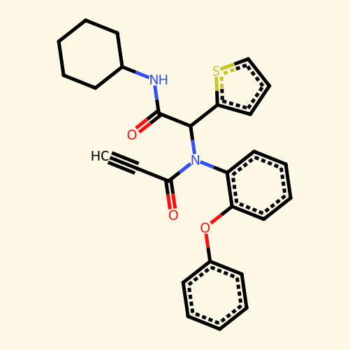 C#CC(=O)N(c1ccccc1Oc1ccccc1)C(C(=O)NC1CCCCC1)c1cccs1